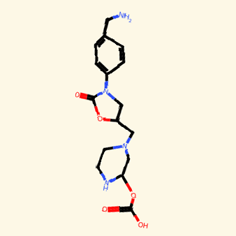 NCc1ccc(N2CC(CN3CCNC(OC(=O)O)C3)OC2=O)cc1